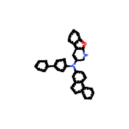 C1=C(N(c2ccc(-c3ccccc3)cc2)c2ccc3c(ccc4ccccc43)c2)CNc2oc3ccccc3c21